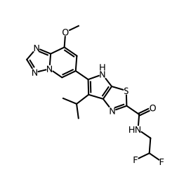 COc1cc(-c2[nH]c3sc(C(=O)NCC(F)F)nc3c2C(C)C)cn2ncnc12